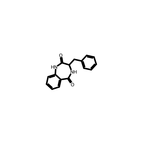 O=C1NC(Cc2ccccc2)C(=O)Nc2ccccc21